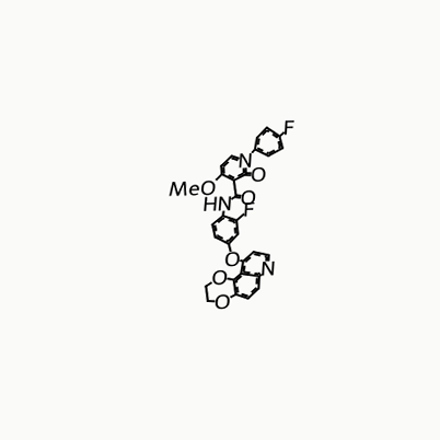 COc1ccn(-c2ccc(F)cc2)c(=O)c1C(=O)Nc1ccc(Oc2ccnc3ccc4c(c23)OCCO4)cc1F